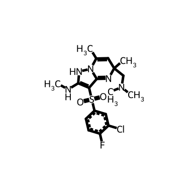 CNC1=C(S(=O)(=O)c2ccc(F)c(Cl)c2)C2=NC(C)(CN(C)C)C=C(C)N2N1